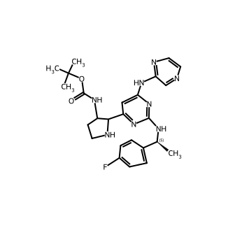 C[C@H](Nc1nc(Nc2cnccn2)cc(C2NCCC2NC(=O)OC(C)(C)C)n1)c1ccc(F)cc1